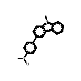 CN(Cl)c1ccc(-c2ccc3c(c2)c2ccccc2n3C)cc1